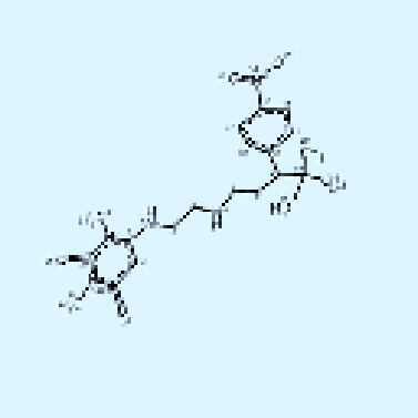 Cn1c(NCCNCCC(c2ccc([N+](=O)[O-])cc2)C(C)(C)C)cc(=O)n(C)c1=O